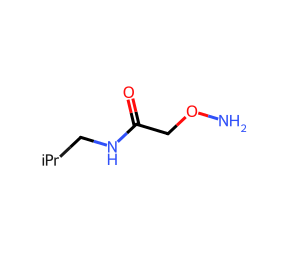 CC(C)CNC(=O)CON